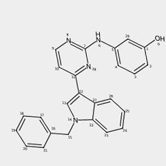 Oc1cccc(Nc2nccc(-c3cn(Cc4ccccc4)c4ccccc34)n2)c1